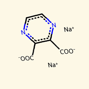 O=C([O-])c1nccnc1C(=O)[O-].[Na+].[Na+]